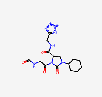 O=CNCC(=O)N1C(=O)N(C2CCCCC2)C[C@H]1C(=O)NCc1nn[nH]n1